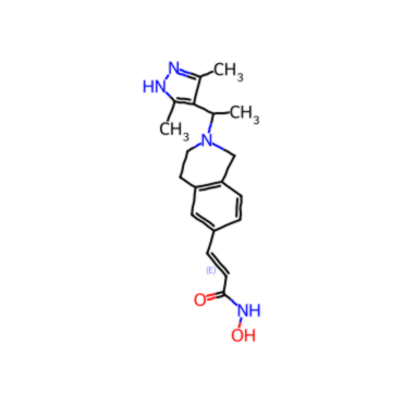 Cc1n[nH]c(C)c1C(C)N1CCc2cc(/C=C/C(=O)NO)ccc2C1